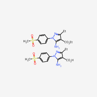 CCOC(=O)c1c(CC)nn(-c2ccc(S(C)(=O)=O)cc2)c1N.CCc1nn(-c2ccc(S(C)(=O)=O)cc2)c(N)c1C(=O)O